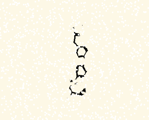 COC(=O)Cc1ccc(Oc2ccc(S(=O)(=O)CC(C)C3CS3)cc2)cc1